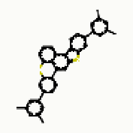 Cc1cc(C)cc(-c2ccc3c(c2)Sc2cccc4c2c-3cc2sc3cc(-c5cc(C)cc(C)c5)ccc3c24)c1